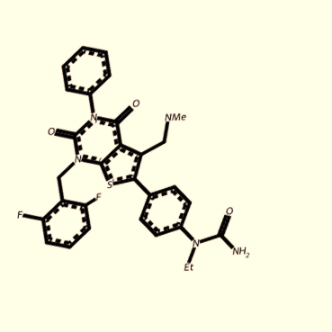 CCN(C(N)=O)c1ccc(-c2sc3c(c2CNC)c(=O)n(-c2ccccc2)c(=O)n3Cc2c(F)cccc2F)cc1